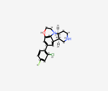 Fc1ccc(-c2cc3c4c(c2)[C@@H]2CNCC[C@@H]2N4CCO3)c(Cl)c1